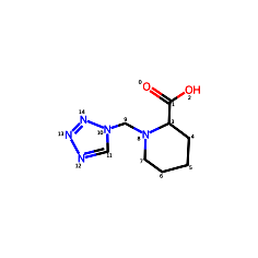 O=C(O)C1CCCCN1Cn1cnnn1